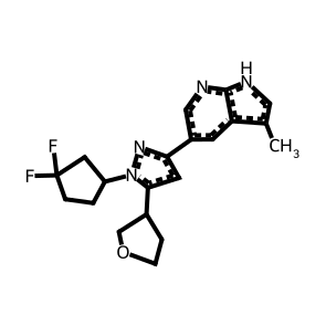 Cc1c[nH]c2ncc(-c3cc(C4CCOC4)n(C4CCC(F)(F)C4)n3)cc12